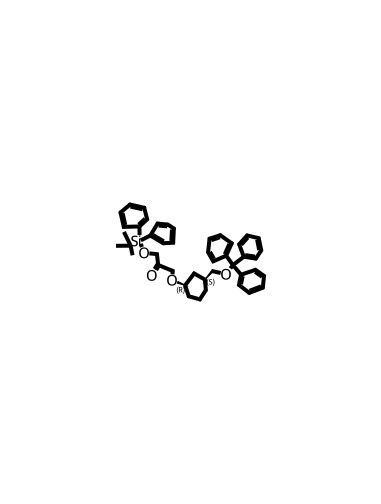 CC(C)(C)[Si](OCC(=O)CO[C@@H]1CCC[C@H](COC(c2ccccc2)(c2ccccc2)c2ccccc2)C1)(c1ccccc1)c1ccccc1